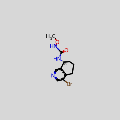 CONC(=O)N[C@@H]1CCCc2c(Br)cncc21